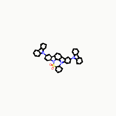 O=S1(=O)c2ccccc2-n2c3ccc(-n4c5ccccc5c5ccccc54)cc3c3ccc4c(c32)N1C1C=CC(n2c3ccccc3c3ccccc32)=CC41